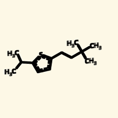 CC(C)c1ccc(CCC(C)(C)C)s1